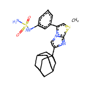 C.NS(=O)(=O)Nc1cccc(-c2csc3nc(C45CC6CC(CC(C6)C4)C5)cn23)c1